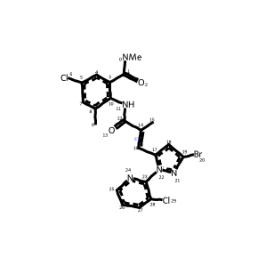 CNC(=O)c1cc(Cl)cc(C)c1NC(=O)/C(C)=C/c1cc(Br)nn1-c1ncccc1Cl